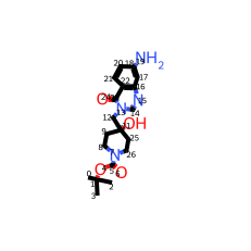 CC(C)(C)OC(=O)N1CCC(O)(Cn2cnc3cc(N)ccc3c2=O)CC1